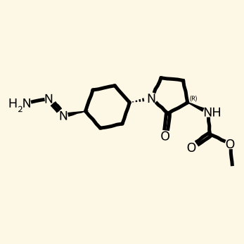 COC(=O)N[C@@H]1CCN([C@H]2CC[C@H](N=NN)CC2)C1=O